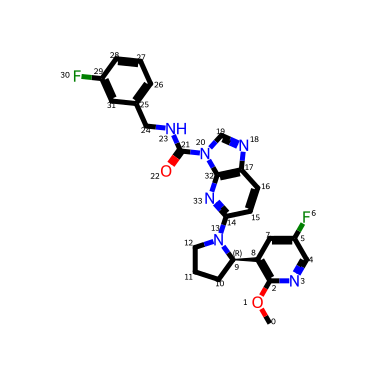 COc1ncc(F)cc1[C@H]1CCCN1c1ccc2ncn(C(=O)NCc3cccc(F)c3)c2n1